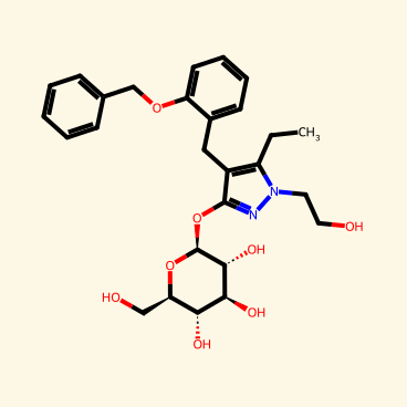 CCc1c(Cc2ccccc2OCc2ccccc2)c(O[C@@H]2O[C@H](CO)[C@@H](O)[C@H](O)[C@H]2O)nn1CCO